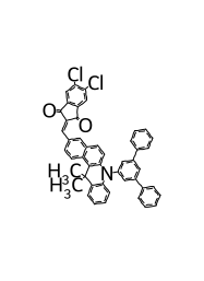 CC1(C)c2ccccc2N(c2cc(-c3ccccc3)cc(-c3ccccc3)c2)c2ccc3cc(C=C4C(=O)c5cc(Cl)c(Cl)cc5C4=O)ccc3c21